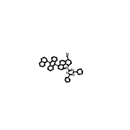 N#Cc1ccc2c3c1ccc1c(-c4c5ccccc5c(-c5cccc6ccccc56)c5ccccc45)ccc(c13)n2-c1nc(-c2ccccc2)nc(-c2ccccc2)n1